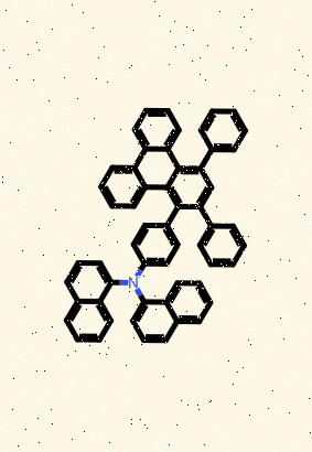 c1ccc(-c2cc(-c3ccccc3)c3c4ccccc4c4ccccc4c3c2-c2ccc(N(c3cccc4ccccc34)c3cccc4ccccc34)cc2)cc1